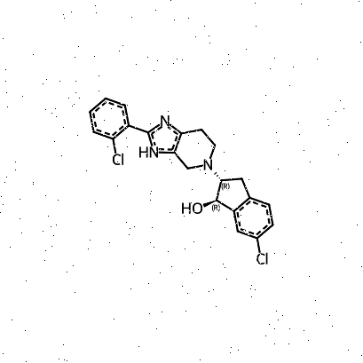 O[C@@H]1c2cc(Cl)ccc2C[C@H]1N1CCc2nc(-c3ccccc3Cl)[nH]c2C1